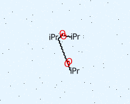 CC(C)CCCCOC(=O)CCCCCCCCCCCCCCCC(CCC(=O)OCCCCC(C)C)C(C)C